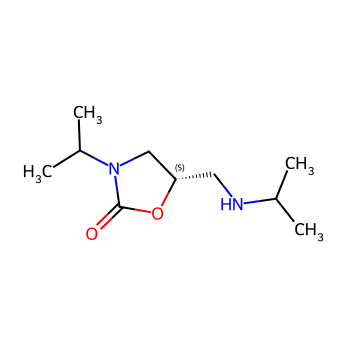 CC(C)NC[C@H]1CN(C(C)C)C(=O)O1